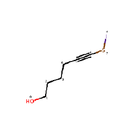 OCCCCC#CSI